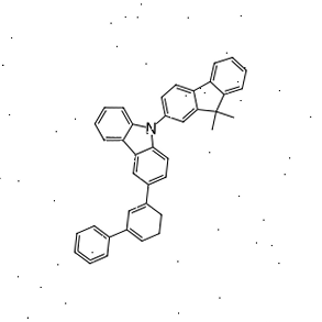 CC1(C)c2ccccc2-c2ccc(-n3c4ccccc4c4cc(C5=CC(C6=CC=C=C=C6)=CCC5)ccc43)cc21